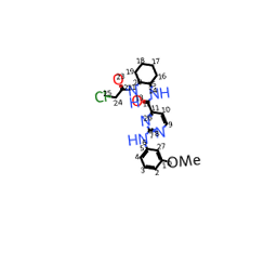 COc1cccc(Nc2nccc(C(=O)NC3CCCCC3NC(=O)CCl)n2)c1